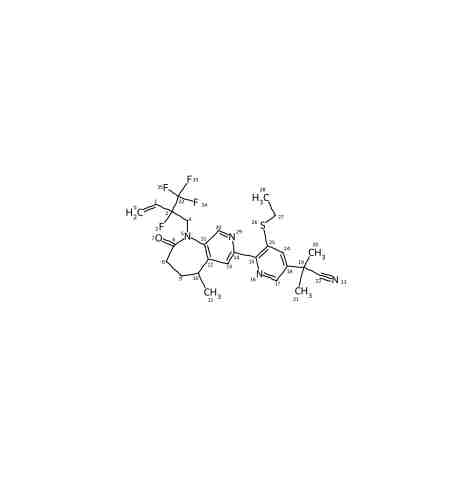 C=CC(F)(CN1C(=O)CCC(C)c2cc(-c3ncc(C(C)(C)C#N)cc3SCC)ncc21)C(F)(F)F